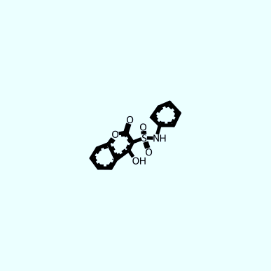 O=c1oc2ccccc2c(O)c1S(=O)(=O)Nc1ccccc1